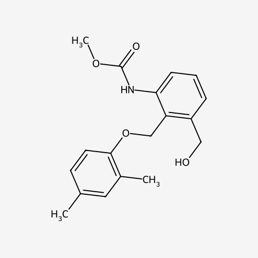 COC(=O)Nc1cccc(CO)c1COc1ccc(C)cc1C